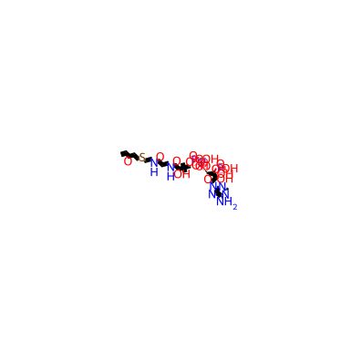 C=CC(=O)CCSCCNC(=O)CCNC(=O)C(O)C(C)(C)COP(=O)(O)OP(=O)(O)OC[C@H]1O[C@@H](n2cnc3c(N)ncnc32)[C@H](O)[C@@H]1OP(=O)(O)O